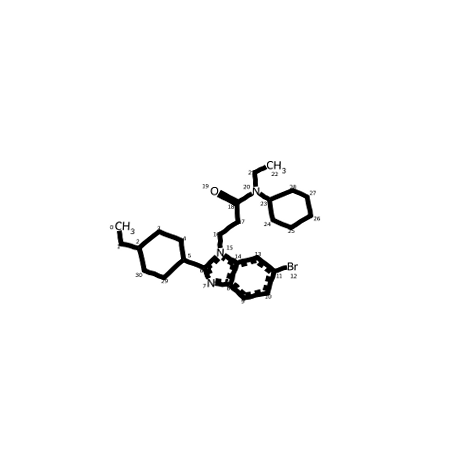 CCC1CCC(c2nc3ccc(Br)cc3n2CCC(=O)N(CC)C2CCCCC2)CC1